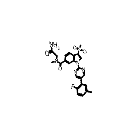 Cc1ccc(F)c(-c2cnc(-n3cc(S(C)(=O)=O)c4ccc(C(=O)N(C)CC(N)=O)cc43)nc2)c1